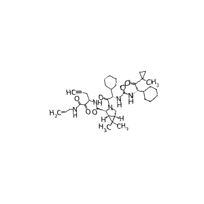 C#CCC(NC(=O)[C@@H]1[C@@H]2[C@H](CN1C(=O)[C@@H](NC(=O)N[C@H](C(=O)C1(C)CC1)C1CCCCC1)C1CCCCC1)C2(C)C)C(=O)C(=O)NCC=C